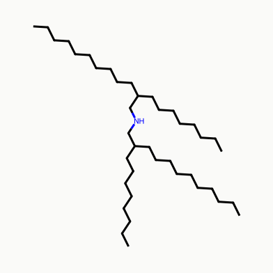 CCCCCCCCCCC(CCCCCCCC)CNCC(CCCCCCCC)CCCCCCCCCC